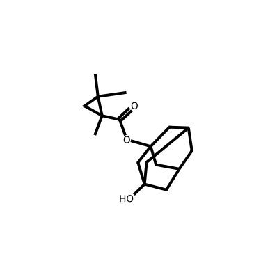 CC1(C)CC1(C)C(=O)OC12CC3CC(CC(O)(C3)C1)C2